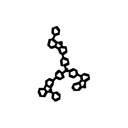 c1ccc(-c2cccc3c2oc2ccc(-c4ccc(N(c5ccc(-c6ccc7c8ccccc8n(-c8ccccc8)c7c6)cc5)c5ccc(-c6cccc7sc8ccccc8c67)cc5)cc4)cc23)cc1